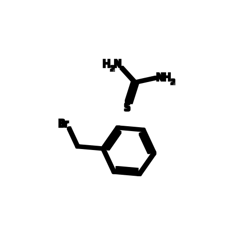 BrCc1ccccc1.NC(N)=S